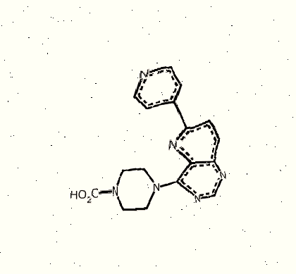 O=C(O)N1CCN(c2ncnc3ccc(-c4ccncc4)nc23)CC1